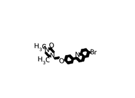 C[C@@H]1CN(C)C(=O)CN1CCOc1ccc(-c2ccc3cc(Br)ccc3n2)cc1